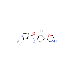 Cl.O=C(Nc1ccc(C2CNCCO2)cc1)c1ccnc(C(F)(F)F)c1